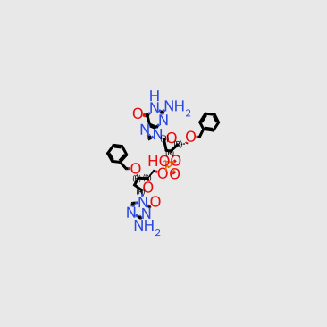 Nc1ncn([C@H]2C[C@@H](OCc3ccccc3)[C@@H](COP(=O)(O)O[C@@H]3C[C@H](n4cnc5c(=O)[nH]c(N)nc54)O[C@@H]3COCc3ccccc3)O2)c(=O)n1